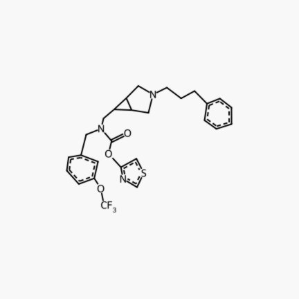 O=C(Oc1cscn1)N(Cc1cccc(OC(F)(F)F)c1)CC1C2CN(CCCc3ccccc3)CC21